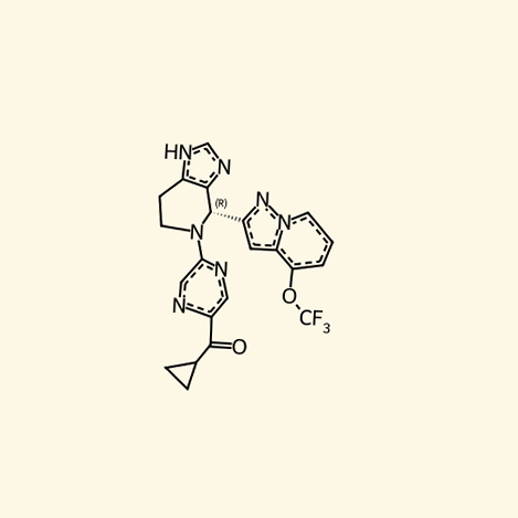 O=C(c1cnc(N2CCc3[nH]cnc3[C@@H]2c2cc3c(OC(F)(F)F)cccn3n2)cn1)C1CC1